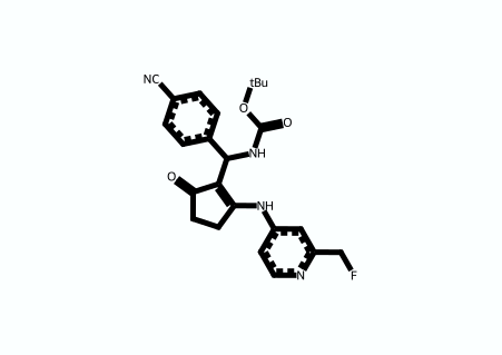 CC(C)(C)OC(=O)NC(C1=C(Nc2ccnc(CF)c2)CCC1=O)c1ccc(C#N)cc1